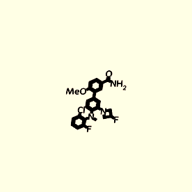 COc1ccc(C(N)=O)cc1-c1ccc(N(C)c2c(F)cccc2Cl)c(N2CC(F)C2)c1